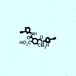 C#Cc1ccc(NC(=O)C2CC(C(=O)Nc3cccc(C#C)c3)C(C(=O)O)CC2C(=O)O)cc1